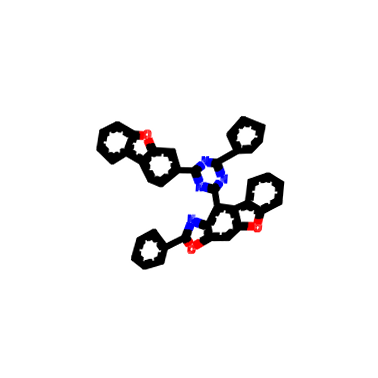 c1ccc(-c2nc(-c3ccc4c(c3)oc3ccccc34)nc(-c3c4nc(-c5ccccc5)oc4cc4oc5ccccc5c34)n2)cc1